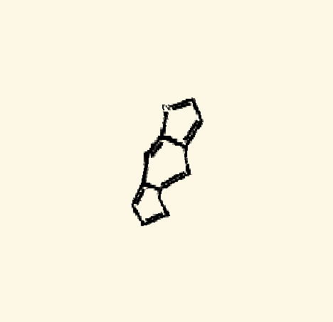 C1=Cc2cc3c(cc2=C1)N=CC=3